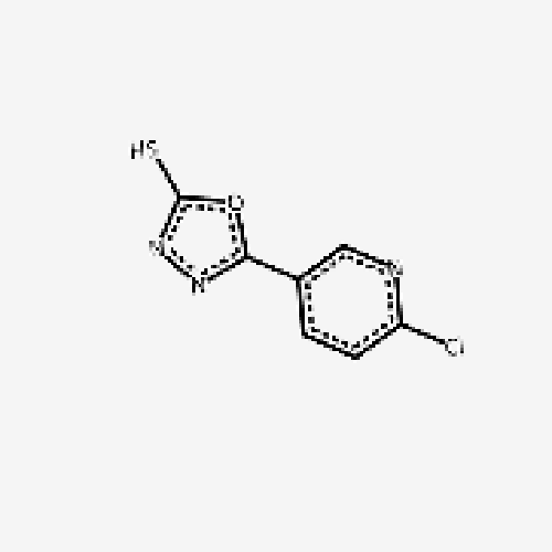 Sc1nnc(-c2ccc(Cl)nc2)o1